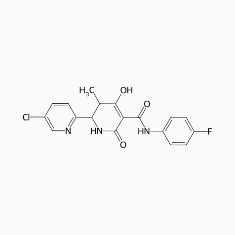 CC1C(O)=C(C(=O)Nc2ccc(F)cc2)C(=O)NC1c1ccc(Cl)cn1